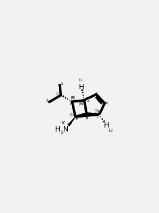 CC(C)[C@@H]1[C@H]2C=C[C@@H]3C2[C@]31N